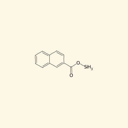 O=C(O[SiH3])c1ccc2ccccc2c1